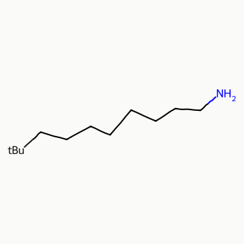 CC(C)(C)CCCCCCCCN